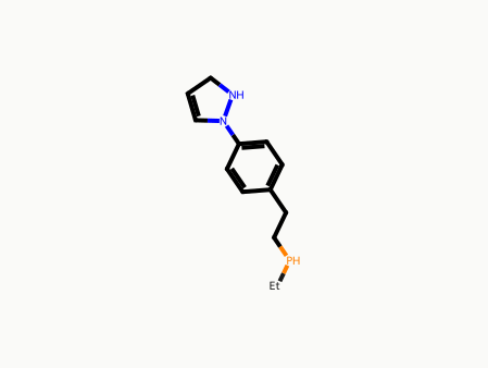 CCPCCc1ccc(N2C=CCN2)cc1